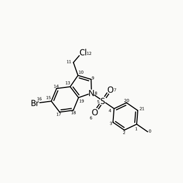 Cc1ccc(S(=O)(=O)n2cc(CCl)c3cc(Br)ccc32)cc1